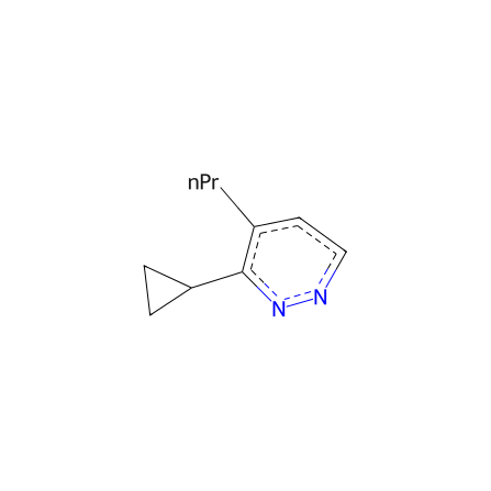 CCCc1ccnnc1C1CC1